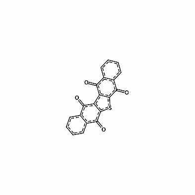 O=c1c2ccccc2c(=O)c2c1sc1c(=O)c3ccccc3c(=O)c12